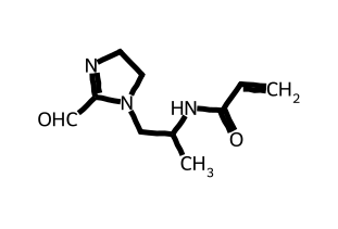 C=CC(=O)NC(C)CN1CCN=C1C=O